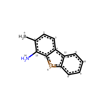 Bc1ccc2c(sc3ccccc32)c1N